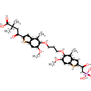 COc1cc2sc(C(=O)CC(C)(C)C(=O)O)cc2c(C)c1OCCCOc1c(OC)cc2sc(C(=O)CP(=O)(O)O)cc2c1C